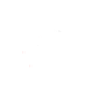 CCCCCCOC(C)(C)C(O)CO